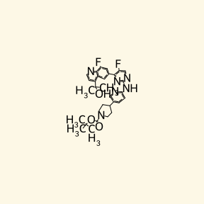 CC(C)(C)OC(=O)N1CCC(c2ccc(Nc3ncc(F)c(-c4cc(F)c5nccc(C(C)(C)O)c5c4)n3)nc2)CC1